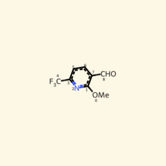 COc1nc(C(F)(F)F)ccc1C=O